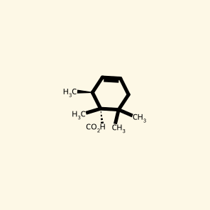 C[C@H]1C=CCC(C)(C)[C@]1(C)C(=O)O